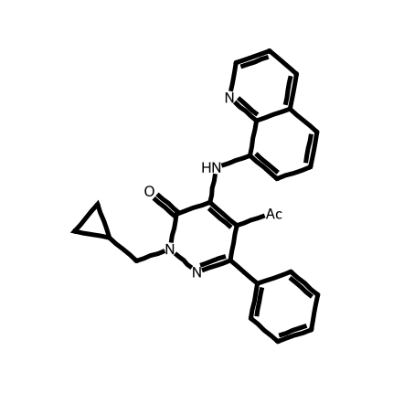 CC(=O)c1c(-c2ccccc2)nn(CC2CC2)c(=O)c1Nc1cccc2cccnc12